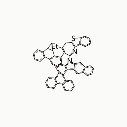 CCC1=C(c2cccc3c2C2CC2c2ccccc2-3)C(n2c3cc4ccccc4cc3c3c4c5ccccc5c5ccccc5c4ccc32)=Nc2c(sc3ccccc23)C1